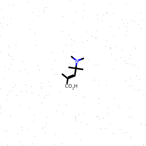 C/C(=C\C(C)(C)N(C)C)C(=O)O